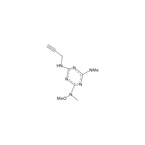 C#CCNc1nc(NC)nc(N(C)OC)n1